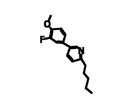 CCCCCc1ccc(-c2ccc(OC)c(F)c2)cn1